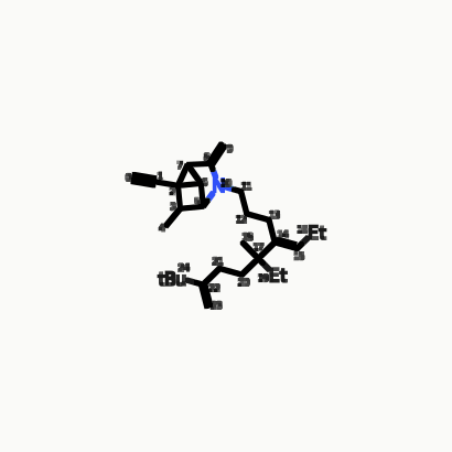 C#CC12C(C)C3C1C2C(=C)N3CCC/C(=C\CC)C(C)(CC)CCC(=C)C(C)(C)C